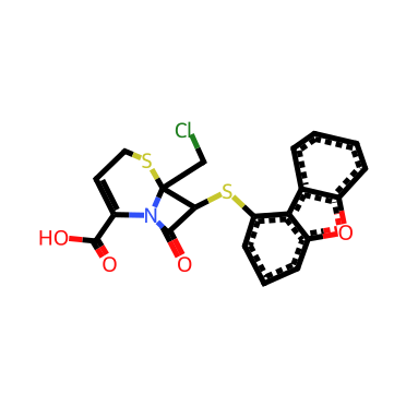 O=C(O)C1=CCSC2(CCl)C(Sc3cccc4oc5ccccc5c34)C(=O)N12